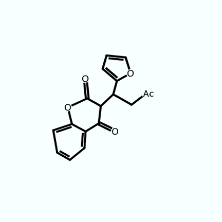 CC(=O)CC(c1ccco1)C1C(=O)Oc2ccccc2C1=O